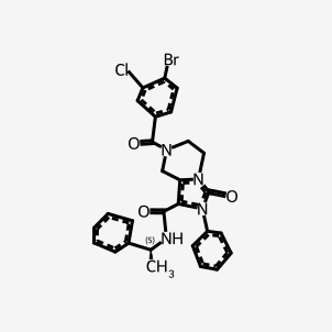 C[C@H](NC(=O)c1c2n(c(=O)n1-c1ccccc1)CCN(C(=O)c1ccc(Br)c(Cl)c1)C2)c1ccccc1